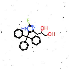 OCC(O)Cc1nc(F)[nH]c1C(c1ccccc1)(c1ccccc1)c1ccccc1